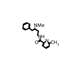 CN[C@H](CCNC(=O)c1cccc(C)n1)Cc1ccccc1